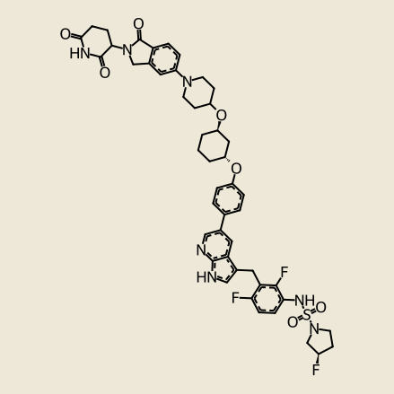 O=C1CCC(N2Cc3cc(N4CCC(O[C@@H]5CCC[C@@H](Oc6ccc(-c7cnc8[nH]cc(Cc9c(F)ccc(NS(=O)(=O)N%10CC[C@@H](F)C%10)c9F)c8c7)cc6)C5)CC4)ccc3C2=O)C(=O)N1